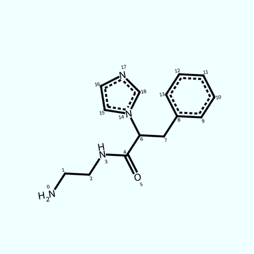 NCCNC(=O)C(Cc1ccccc1)n1ccnc1